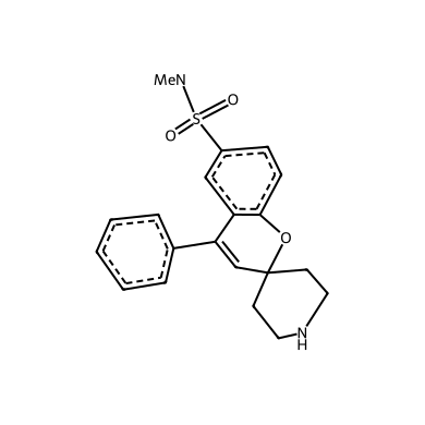 CNS(=O)(=O)c1ccc2c(c1)C(c1ccccc1)=CC1(CCNCC1)O2